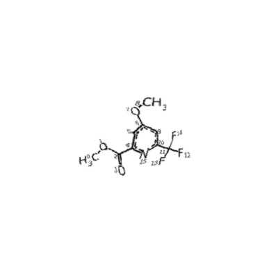 COC(=O)c1cc(OC)cc(C(F)(F)F)n1